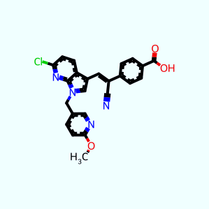 COc1ccc(Cn2cc(/C=C(\C#N)c3ccc(C(=O)O)cc3)c3ccc(Cl)nc32)cn1